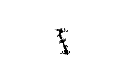 CC(C)(C)c1cc(CCC(=O)OCCSNC(=O)C(=O)NSCCOC(=O)CCc2cc(C(C)(C)C)c(O)c(C(C)(C)C)c2)cc(C(C)(C)C)c1O